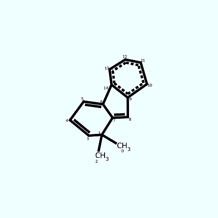 CC1(C)C=CC=C2C1=Cc1ccccc12